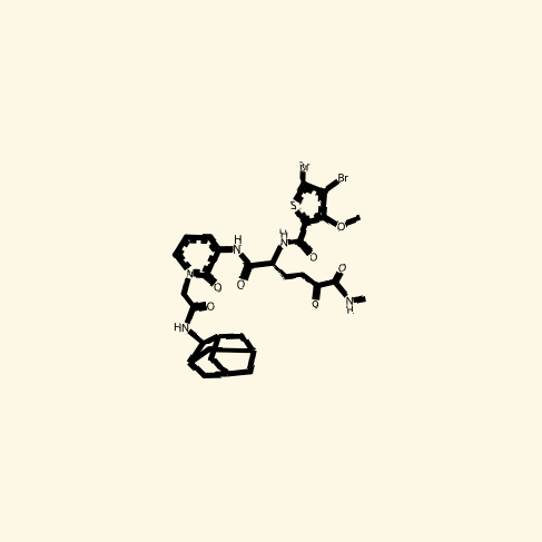 CNC(=O)C(=O)CC[C@H](NC(=O)c1sc(Br)c(Br)c1OC)C(=O)Nc1cccn(CC(=O)NC2C3CC4CC(C3)CC2C4)c1=O